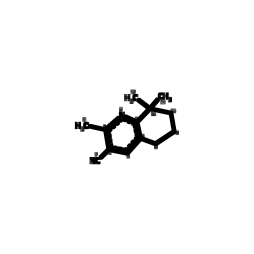 Cc1nc2c(cc1C#N)CCCC2(C)C